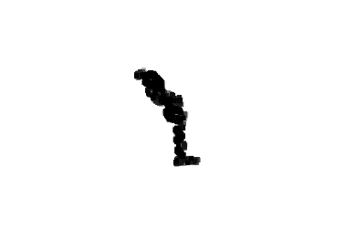 COCCOCCCSc1ccc(C(=O)Nc2ccc(Cl)cc2C(=O)O)cn1